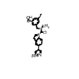 COc1cc(F)cc(CN(C)C(=O)n2ccc3cc(-c4cn[nH]c4)ccc32)c1